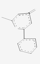 Cc1cc(=O)cc(-c2ccccc2)o1